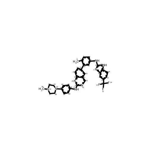 Cc1ccc(Nc2nc3cc(C(F)(F)F)ccc3[nH]2)cc1-c1ccc2nc(Nc3ccc(N4CCN(C)CC4)cc3)ncc2c1